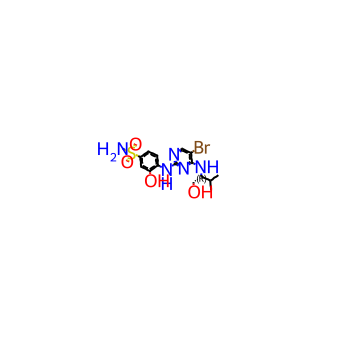 CC(C)[C@H](CO)Nc1nc(Nc2ccc(S(N)(=O)=O)cc2O)ncc1Br